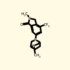 CN1Cc2c(cc(N3CC4CCC3CN4C)cc2C(F)(F)F)C1=O